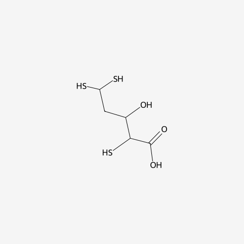 O=C(O)C(S)C(O)CC(S)S